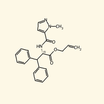 C=CCOC(=O)[C@@H](NC(=O)c1ccnn1C)C(c1ccccc1)c1ccccc1